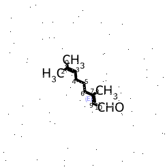 CC(C)=CCCC/C(C)=C/C=O